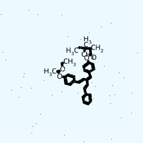 C=C(C(=O)Oc1ccc(C=C(C=Cc2ccccc2)C=Cc2ccc(OC(C)OCC)cc2)cc1)C(C)(C)CC